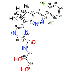 CC1(C)[C@H]2CC[C@]1(c1cncc(C(=O)NC[C@H](O)CO)n1)c1nnc(-c3c(F)cccc3F)cc12